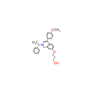 COc1ccc(C2=CN(C(C)c3ccccc3)Cc3cc(OCCCO)ccc32)cc1